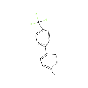 CC1=CC=C(c2ccc(C(F)(F)F)cc2)CC1